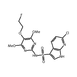 COc1nc(NS(=O)(=O)c2c[nH]c3nc(Cl)ccc23)nc(OC)c1OCCF